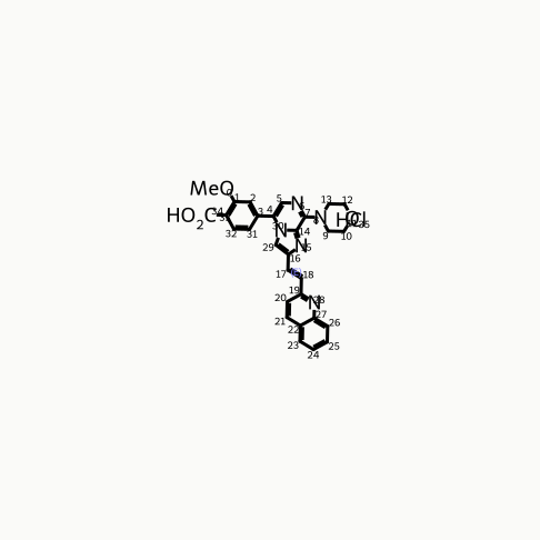 COc1cc(-c2cnc(N3CCOCC3)c3nc(/C=C/c4ccc5ccccc5n4)cn23)ccc1C(=O)O.Cl